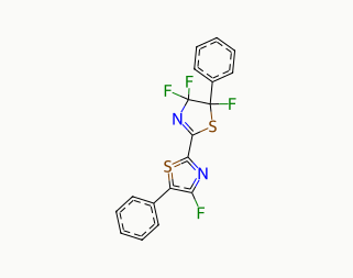 Fc1nc(C2=NC(F)(F)C(F)(c3ccccc3)S2)sc1-c1ccccc1